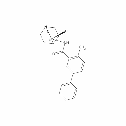 Cc1ccc(-c2ccccc2)cc1C(=O)N[C@H]1CN2CCC1CC2